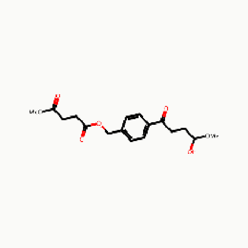 COC(=O)CCC(=O)OCc1ccc(C(=O)CCC(O)OC)cc1